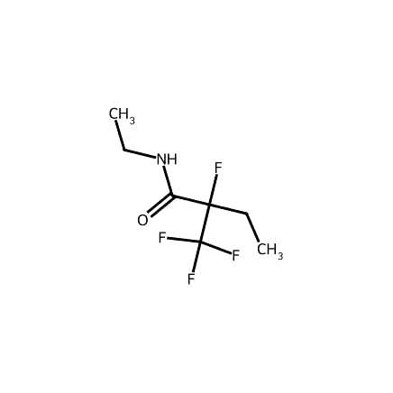 CCNC(=O)C(F)(CC)C(F)(F)F